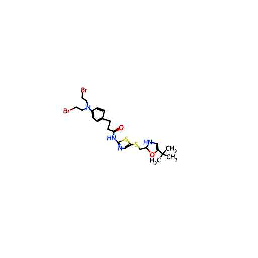 CC(C)(C)C1=CNC(CSc2cnc(NC(=O)CCc3ccc(N(CCBr)CCBr)cc3)s2)O1